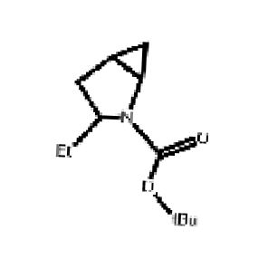 CCC1CC2CC2N1C(=O)OC(C)(C)C